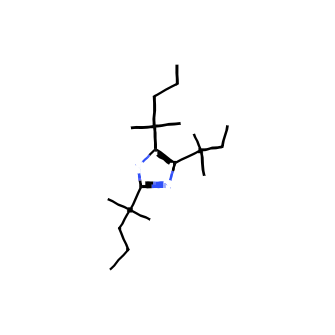 CCCC(C)(C)c1nc(C(C)(C)CC)c(C(C)(C)CCC)[nH]1